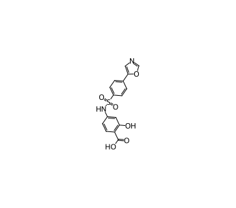 O=C(O)c1ccc(NS(=O)(=O)c2ccc(-c3cnco3)cc2)cc1O